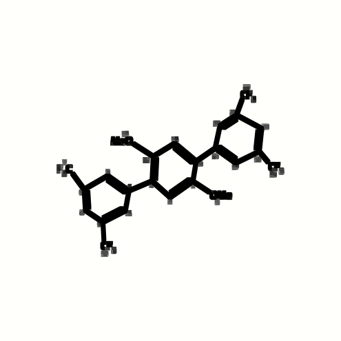 COc1cc(-c2cc(C(F)(F)F)cc(C(F)(F)F)c2)c(OC)cc1-c1cc(C(F)(F)F)cc(C(F)(F)F)c1